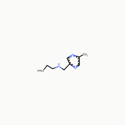 CCCCCCCCNCc1cnc(C)cn1